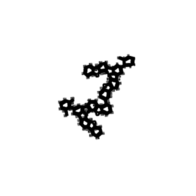 Cc1ccccc1-c1cc2c3ccc4c5ccccc5oc4c3n3c2c(c1)c1ccc2c4cc(-c5cccc6oc7c(ccc8c9cc(-c%10c(C)cccc%10C)cc%10c%11ccc%12c%13ccccc%13oc%12c%11n(c%109)c87)c56)ccc4oc2c13